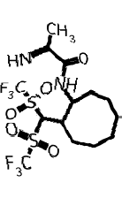 CC(=N)C(=O)NC1CCCCCCC1C(S(=O)(=O)C(F)(F)F)S(=O)(=O)C(F)(F)F